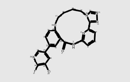 O=C1Nc2cccc(n2)-c2nncn2CCCCOc2ccc(-c3cnc(F)c(Cl)c3)cc21